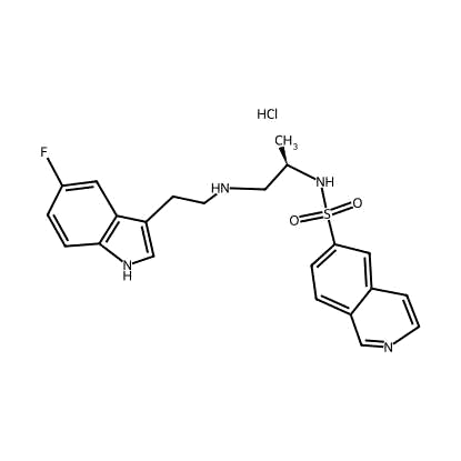 C[C@H](CNCCc1c[nH]c2ccc(F)cc12)NS(=O)(=O)c1ccc2cnccc2c1.Cl